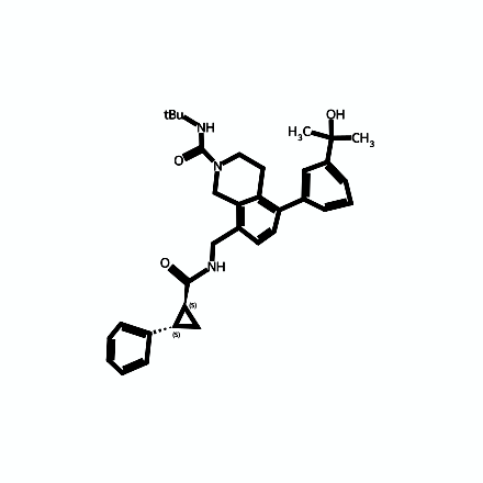 CC(C)(C)NC(=O)N1CCc2c(-c3cccc(C(C)(C)O)c3)ccc(CNC(=O)[C@H]3C[C@@H]3c3ccccc3)c2C1